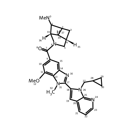 CNC1C2C[C@@H]3CN(C(=O)c4cc(OC)c5c(c4)nc(-c4cc6cccnc6n4CC4CC4)n5C)[C@H]1[C@H]23